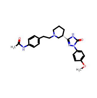 COc1ccc(-n2nc([C@H]3CCCN(CCc4ccc(NC(C)=O)cc4)C3)[nH]c2=O)cc1